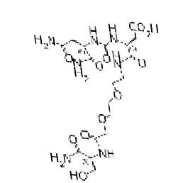 NC(=O)C[C@@H](NC(=O)N[C@@H](CC(=O)O)C(=O)NCCOCCOCC(=O)N[C@@H](CO)C(N)=O)C(N)=O